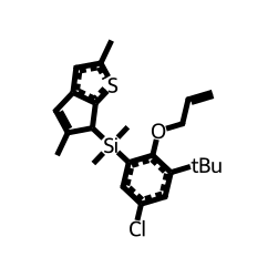 C=CCOc1c(C(C)(C)C)cc(Cl)cc1[Si](C)(C)C1C(C)=Cc2cc(C)sc21